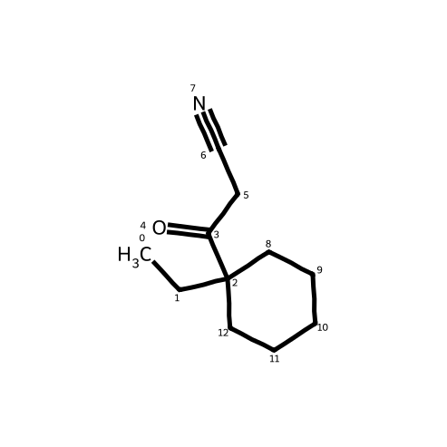 CCC1(C(=O)CC#N)CCCCC1